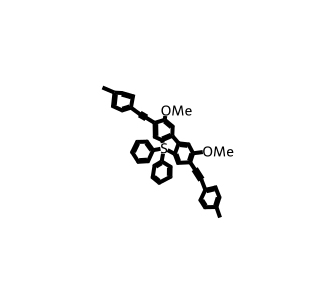 COc1cc2c(cc1C#Cc1ccc(C)cc1)S(c1ccccc1)(c1ccccc1)c1cc(C#Cc3ccc(C)cc3)c(OC)cc1-2